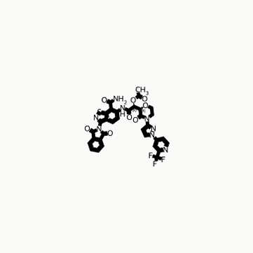 CC(=O)O[C@@H](C(=O)Nc1ccc2c(N3C(=O)c4ccccc4C3=O)nsc2c1C(N)=O)[C@H]1OCCN(c2ccn(-c3ccnc(C(F)(F)F)c3)n2)C1=O